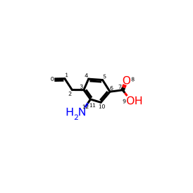 C=CCc1ccc(C(=O)O)cc1N